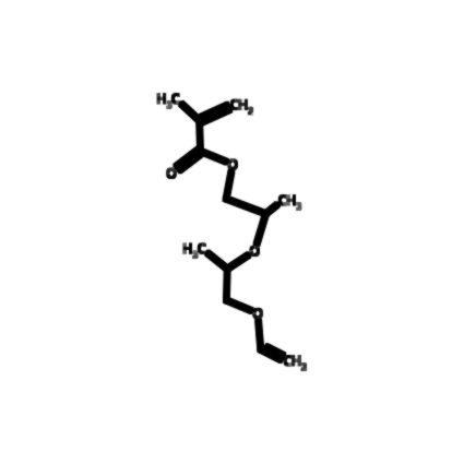 C=COCC(C)OC(C)COC(=O)C(=C)C